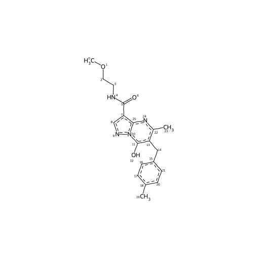 COCCNC(=O)c1cnn2c(O)c(Cc3ccc(C)cc3)c(C)nc12